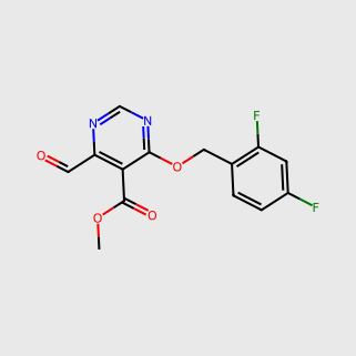 COC(=O)c1c(C=O)ncnc1OCc1ccc(F)cc1F